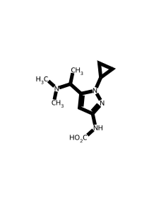 CC(c1cc(NC(=O)O)nn1C1CC1)N(C)C